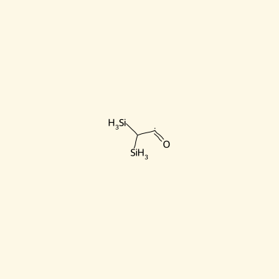 O=[C]C([SiH3])[SiH3]